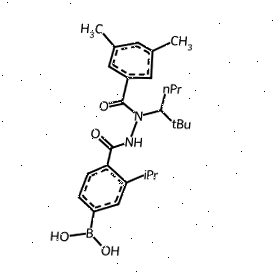 CCCC(N(NC(=O)c1ccc(B(O)O)cc1C(C)C)C(=O)c1cc(C)cc(C)c1)C(C)(C)C